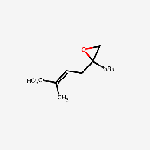 CCCCC1(C/C=C(\C)C(=O)O)CO1